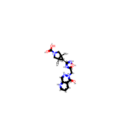 O=C(O)N1C[C@@H]2[C@H](C1)[C@H]2c1noc(Cn2ncc3ncccc3c2=O)n1